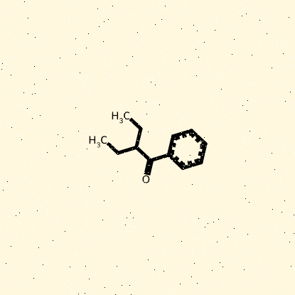 CCC(CC)C(=O)c1ccccc1